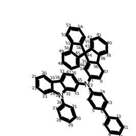 C1=C(N(c2ccc(-c3ccccc3)cc2)c2ccc3c4ccccc4n(-c4ccccc4)c3c2)C=C2C(C1)c1ccccc1C21c2ccccc2-c2ccccc21